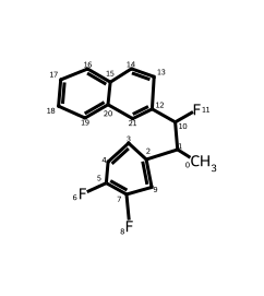 CC(c1ccc(F)c(F)c1)C(F)c1ccc2ccccc2c1